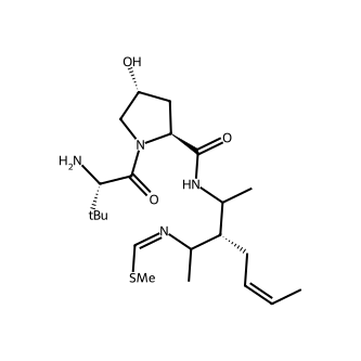 C/C=C\C[C@H](C(C)/N=C\SC)C(C)NC(=O)[C@@H]1C[C@@H](O)CN1C(=O)[C@@H](N)C(C)(C)C